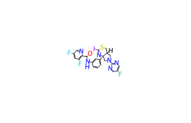 O=C(Nc1cccc([C@]23CN(c4ncc(F)cn4)C[C@H]2CSC(I)=N3)c1)c1ncc(F)cc1F